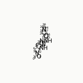 C=CC(=O)N1CCCC(Nc2nc(Nc3ccc4c(c3)CCN(C(C)(C)C)C4)ncc2F)C1